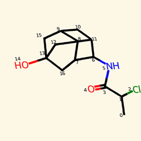 CC(Cl)C(=O)NC1C2CC3CC1CC(O)(C3)C2